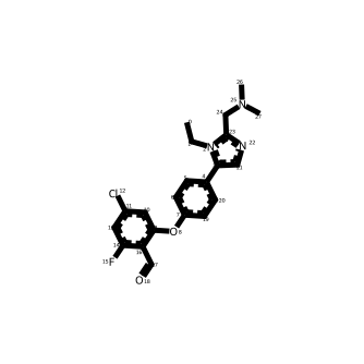 CCn1c(-c2ccc(Oc3cc(Cl)cc(F)c3C=O)cc2)cnc1CN(C)C